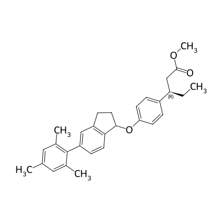 CC[C@H](CC(=O)OC)c1ccc(OC2CCc3cc(-c4c(C)cc(C)cc4C)ccc32)cc1